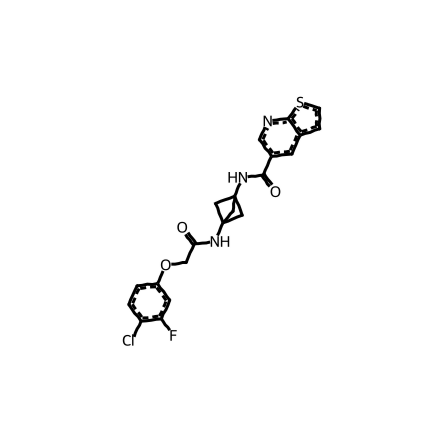 O=C(COc1ccc(Cl)c(F)c1)NC12CC(NC(=O)c3cnc4sccc4c3)(C1)C2